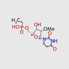 C=CP(=O)(O)OC[C@H]1O[C@@H](n2ccc(=O)[nH]c2=O)C(OC)C1O